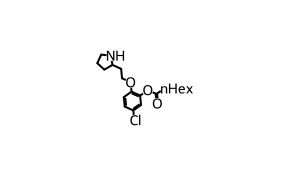 CCCCCCC(=O)Oc1cc(Cl)ccc1OCCC1CCCN1